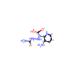 NC(=S)NNN(C(=O)O)c1ncccc1N